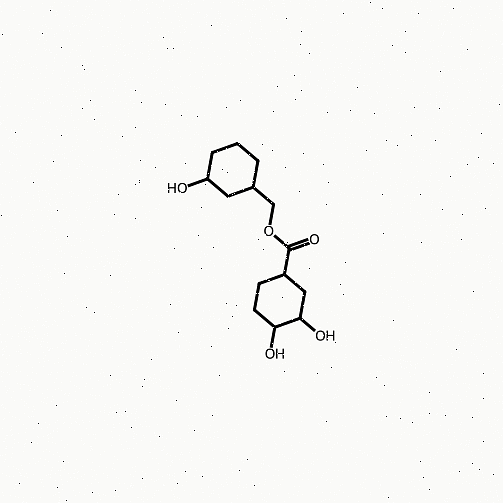 O=C(OCC1CCCC(O)C1)C1CCC(O)C(O)C1